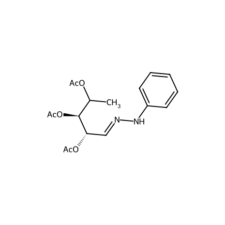 CC(=O)OC(C)[C@H](OC(C)=O)[C@H](/C=N/Nc1ccccc1)OC(C)=O